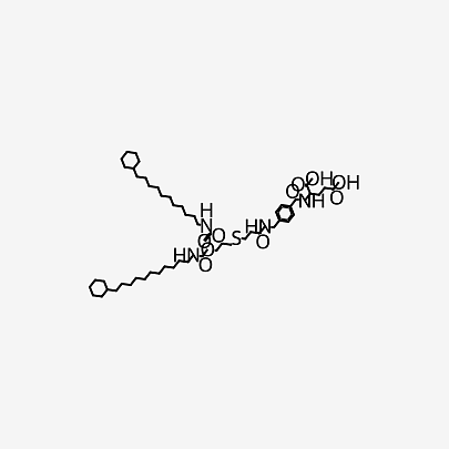 O=C(O)CCC(NC(=O)c1ccc(CNC(=O)CCSCC(COC(=O)NCCCCCCCCCCCC2CCCCC2)OC(=O)NCCCCCCCCCCCC2CCCCC2)cc1)C(=O)O